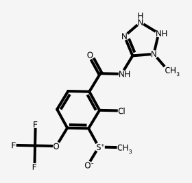 CN1NNN=C1NC(=O)c1ccc(OC(F)(F)F)c([S+](C)[O-])c1Cl